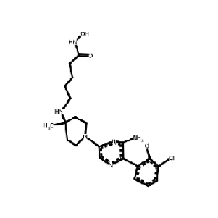 CC1(NCCCCC(=O)NO)CCN(c2cnc(-c3cccc(Cl)c3Cl)c(N)n2)CC1